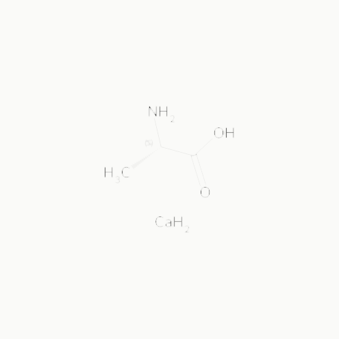 C[C@H](N)C(=O)O.[CaH2]